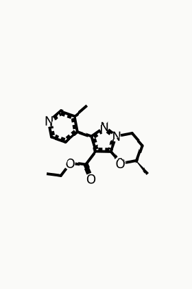 CCOC(=O)c1c(-c2ccncc2C)nn2c1O[C@H](C)CC2